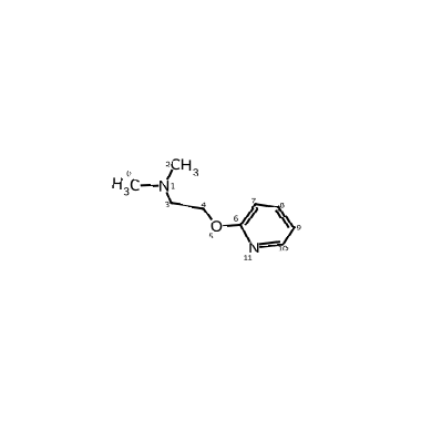 CN(C)CCOc1c[c]ccn1